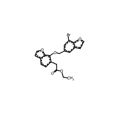 CCOC(=O)Cc1ccc2ccoc2c1OCc1cc(Br)c2occc2c1